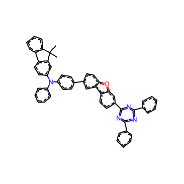 CC1(C)c2ccccc2-c2ccc(N(c3ccccc3)c3ccc(-c4ccc5oc6cc(-c7nc(-c8ccccc8)nc(-c8ccccc8)n7)ccc6c5c4)cc3)cc21